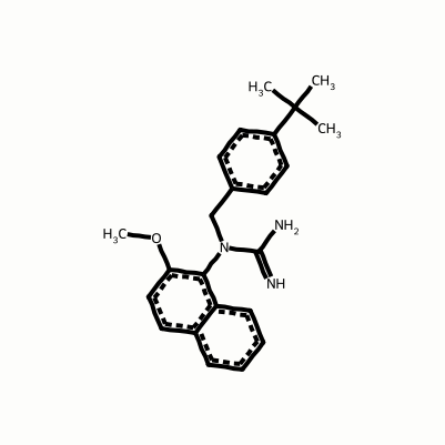 COc1ccc2ccccc2c1N(Cc1ccc(C(C)(C)C)cc1)C(=N)N